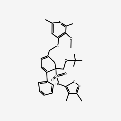 COc1c(OCC2=CC=C(c3ccccc3)C(COC(C)(C)C)(S(=O)(=O)Nc3onc(C)c3C)C2)cc(C)nc1C